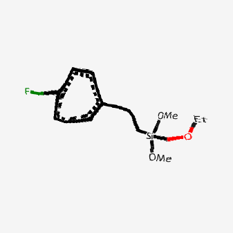 CCO[Si](CCc1ccc(F)cc1)(OC)OC